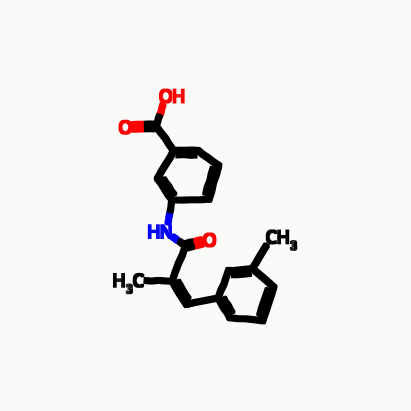 CC(=Cc1cccc(C)c1)C(=O)Nc1cccc(C(=O)O)c1